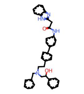 O=C(Cc1nc2ccccc2[nH]1)Nc1ccc(-c2ccc(CCN(Cc3ccccc3)CC(O)c3ccccc3)cc2)cc1